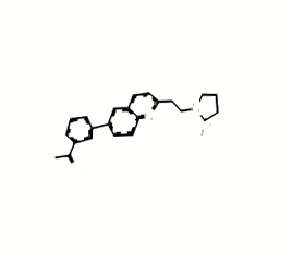 CC(=O)c1cccc(-c2ccc3nc(CCN4CCC[C@H]4C)ccc3c2)c1